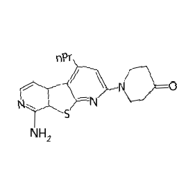 CCCc1cc(N2CCC(=O)CC2)nc2c1C1C=CN=C(N)C1S2